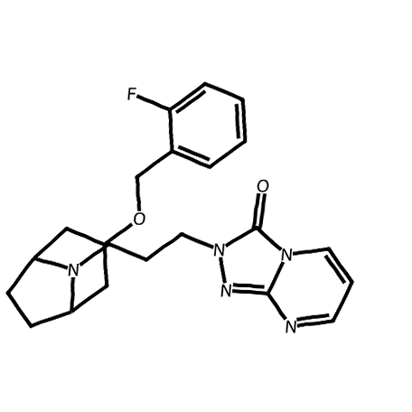 O=c1n(CCCN2C3CCC2CC(OCc2ccccc2F)C3)nc2ncccn12